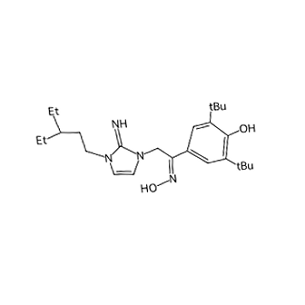 CCC(CC)CCn1ccn(CC(=NO)c2cc(C(C)(C)C)c(O)c(C(C)(C)C)c2)c1=N